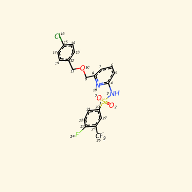 O=S(=O)(Nc1cccc(COCc2ccc(Cl)cc2)n1)c1ccc(F)c(C(F)(F)F)c1